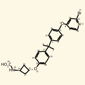 CC(C)(c1ccc(Oc2ccnc(Br)c2)cc1)c1ccc(O[C@H]2C[C@H](NC(=O)O)C2)cc1